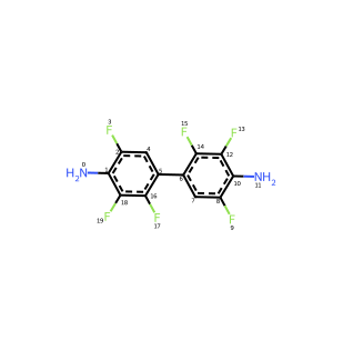 Nc1c(F)cc(-c2cc(F)c(N)c(F)c2F)c(F)c1F